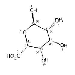 O=C(O)[C@@H]1O[C@@H](O)[C@H](O)[C@H](O)[C@@H]1O